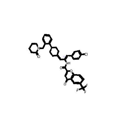 O=C(N/C(C=C1CCC(c2ccccc2CN2CCCCC2=O)CC1)=C\c1ccc(Cl)cc1)c1cc(=O)c2cc(C(F)(F)F)ccc2o1